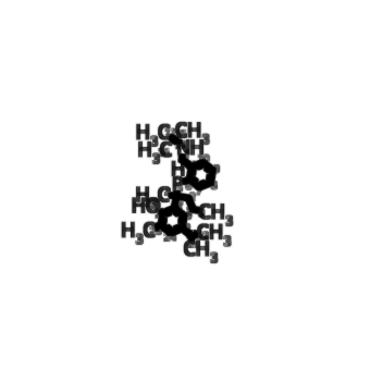 CCCC(C)(Pc1ccccc1CNC(C)(C)C)c1cc(C(C)C)cc(C)c1O